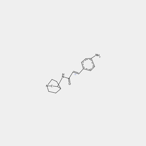 Nc1ccc(/C=C/C(=O)NC2CN3CCC2CC3)cc1